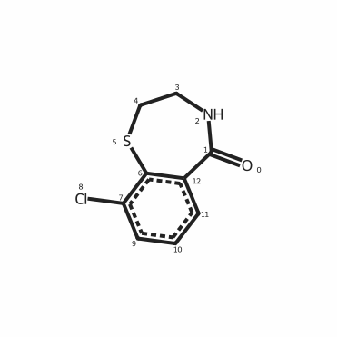 O=C1NCCSc2c(Cl)cccc21